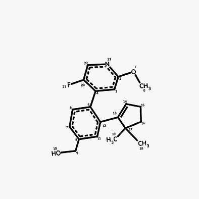 COc1cc(-c2ccc(CO)cc2C2=CCCC2(C)C)c(F)cn1